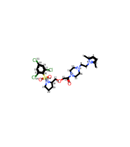 Cc1ccc(C)n1CCN1CCN(C(=O)COCC2CCCN2S(=O)(=O)c2c(Cl)cc(Cl)cc2Cl)CC1